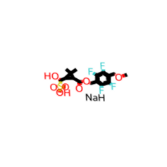 COCc1c(F)c(F)c(COC(=O)C2C(C(O)S(=O)(=O)O)C2(C)C)c(F)c1F.[NaH]